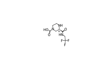 O=C(NCC(F)(F)F)[C@H]1CN(C(=O)O)CCN1